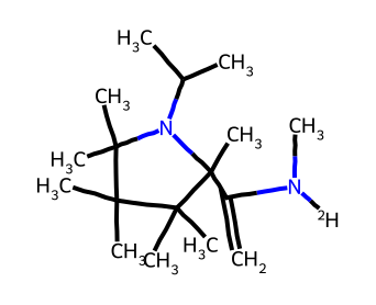 [2H]N(C)C(=C)C1(C)N(C(C)C)C(C)(C)C(C)(C)C1(C)C